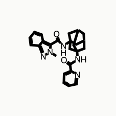 Cn1nc2ccccc2c1C(=O)NC12CC3CC(CC(NC(=O)c4ccccn4)(C3)C1)C2